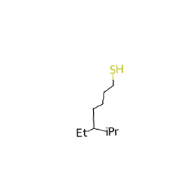 CCC(CCCCS)C(C)C